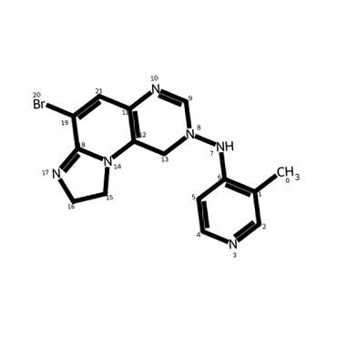 Cc1cnccc1NN1C=NC2=C(C1)N1CCN=C1C(Br)=C2